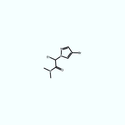 CCC(C(=O)N(C)C)n1cc(Br)cn1